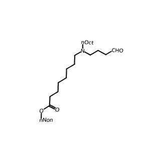 CCCCCCCCCOC(=O)CCCCCCCN(CCCC=O)CCCCCCCC